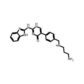 NCCCNCc1ccc(-c2c[nH]c(Nc3nc4ccccc4[nH]3)nc2=O)cc1